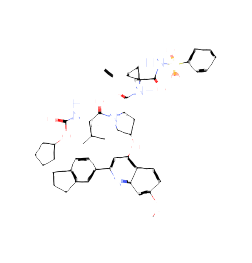 C=C[C@@H]1C[C@]1(NC(=O)[C@@H]1C[C@@H](Oc2cc(-c3ccc4c(c3)CCC4)nc3cc(OC)ccc23)CN1C(=O)[C@@H](NC(=O)OC1CCCC1)C(C)C)C(=O)NS(=O)(=O)c1ccccc1